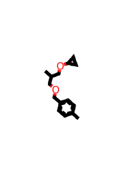 Cc1ccc(COCC(C)COC2CC2)cc1